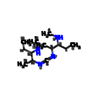 CCC(NC)C(C)N=C=NC(C)C(CC)NC